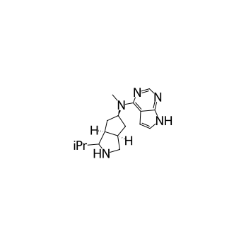 CC(C)C1NC[C@@H]2C[C@H](N(C)c3ncnc4[nH]ccc34)C[C@H]12